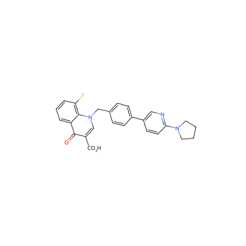 O=C(O)c1cn(Cc2ccc(-c3ccc(N4CCCC4)nc3)cc2)c2c(F)cccc2c1=O